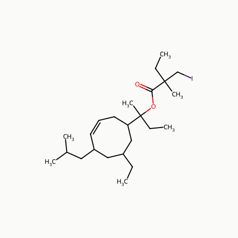 CCC1CC(CC(C)C)C=CCC(C(C)(CC)OC(=O)C(C)(CC)CI)C1